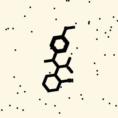 COc1ccc(C(C)C(C2CCCCC2O)N(C)C)cc1